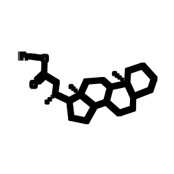 CC(C)OC(=O)C[C@@H](C)C1CCC2C3CCC4CCCC[C@]4(C)C3CC[C@@]21C